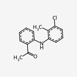 CC(=O)c1ccccc1Nc1cccc(Cl)c1C